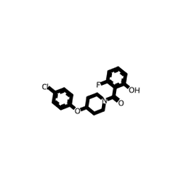 O=C(c1c(O)cccc1F)N1CCC(Oc2ccc(Cl)cc2)CC1